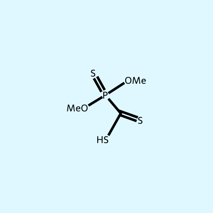 COP(=S)(OC)C(=S)S